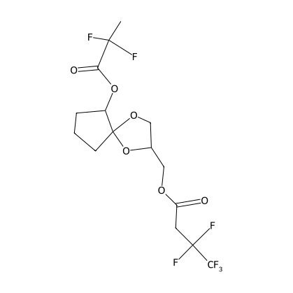 CC(F)(F)C(=O)OC1CCCC12OCC(COC(=O)CC(F)(F)C(F)(F)F)O2